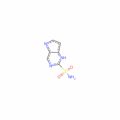 NS(=O)(=O)c1ncc2nccc-2[nH]1